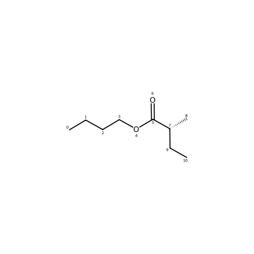 CCCCOC(=O)[C@H](C)CC